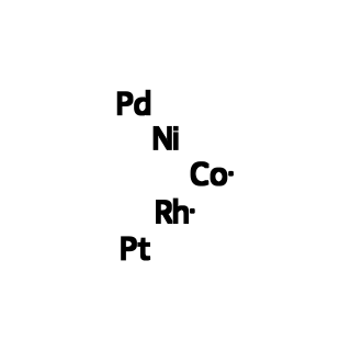 [Co].[Ni].[Pd].[Pt].[Rh]